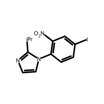 CC(C)c1nccn1-c1ccc(I)cc1[N+](=O)[O-]